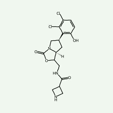 O=C(NCC1OC(=O)N2C[C@@H](c3c(O)ccc(Cl)c3Cl)C[C@@H]12)C1CNC1